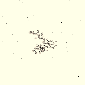 C[C@H](Oc1cc(N2C[C@H](C)N(C(=O)OC(C)(C)C)[C@@H](C)C2)nc(C(=O)C2CCC[C@@]3(CCCCC34OCCO4)C2=O)n1)[C@@H]1CCCN1C